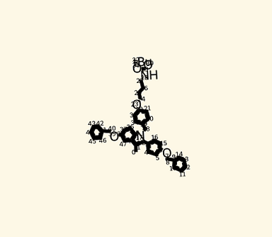 Cc1c(-c2ccc(OCc3ccccc3)cc2)n(Cc2ccc(OCCCCNC(=O)OC(C)(C)C)cc2)c2ccc(OCc3ccccc3)cc12